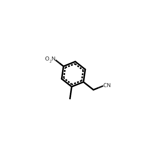 Cc1cc([N+](=O)[O-])ccc1CC#N